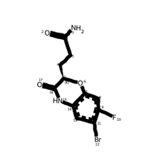 NC(=O)CC[C@H]1Oc2cc(F)c(Br)cc2NC1=O